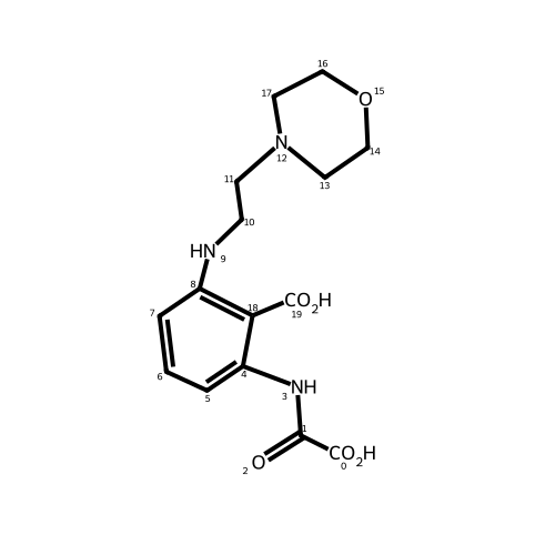 O=C(O)C(=O)Nc1cccc(NCCN2CCOCC2)c1C(=O)O